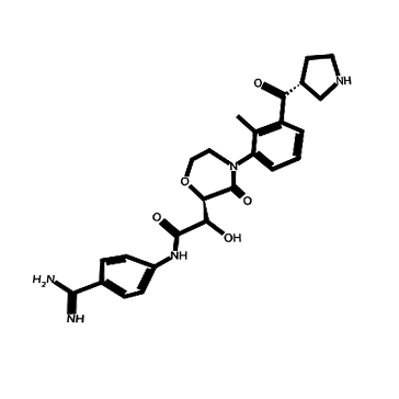 Cc1c(C(=O)[C@@H]2CCNC2)cccc1N1CCO[C@H](C(O)C(=O)Nc2ccc(C(=N)N)cc2)C1=O